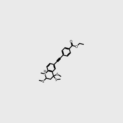 CCOC(=O)c1ccc(C#Cc2ccc3c(c2)C(SC)(SC)CC(SC)[SH]3C)cc1